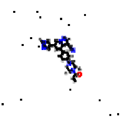 C=CC(=O)N1[C@H](C)CN(c2ccc(-c3cc(-c4cnn(C)c4)cn4ncc(C#N)c34)cc2)C[C@@H]1C